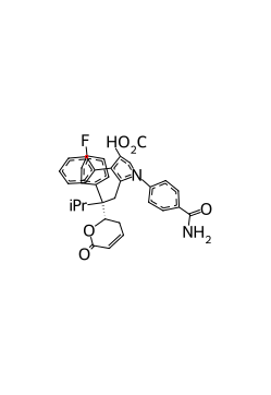 CC(C)C(Cc1c(-c2ccccc2)c(C(=O)O)cn1-c1ccc(C(N)=O)cc1)(c1ccc(F)cc1)[C@@H]1CC=CC(=O)O1